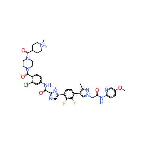 COc1ccc(NC(=O)Cn2cc(-c3ccc(-c4cnc(C(=O)Nc5ccc(C(=O)N6CCN(C(=O)C7CC[N+](C)(C)CC7)CC6)c(Cl)c5)n4C)c(F)c3F)c(C)n2)nc1